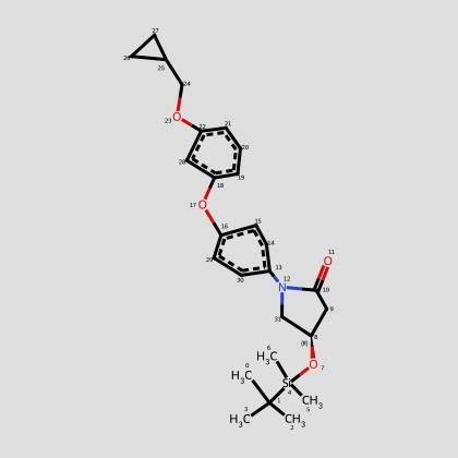 CC(C)(C)[Si](C)(C)O[C@@H]1CC(=O)N(c2ccc(Oc3cccc(OCC4CC4)c3)cc2)C1